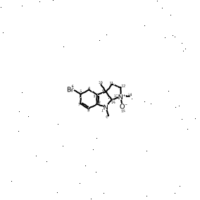 CN1C2=C(CC(Br)C=C2)C2(C)CC[N+](C)([O-])C12